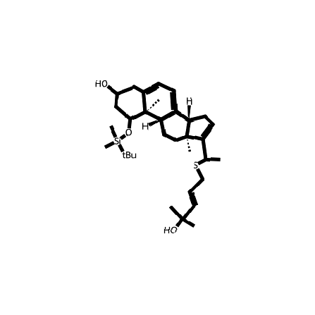 CC(SC/C=C/C(C)(C)O)C1=CC[C@H]2C3=CC=C4CC(O)CC(O[Si](C)(C)C(C)(C)C)[C@]4(C)[C@H]3CC[C@]12C